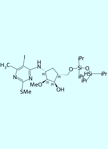 CO[C@@H]1[C@H](O)[C@@H](CO[Si](O[SiH](C(C)C)C(C)C)(C(C)C)C(C)C)C[C@H]1Nc1nc(SC)nc(C)c1I